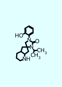 CC(C)N1C(=O)N(c2ccccc2O)CC12CC1CCCNC1C2